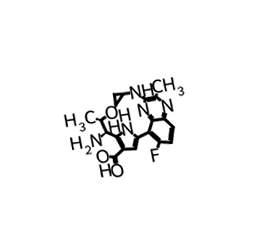 Cc1nc2ccc(F)c(-c3cc(C(=O)O)c([C@@H](N)[C@@H](C)O)[nH]3)c2nc1NC1CC1